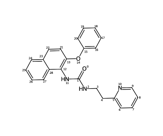 O=C(NCCc1ccccn1)Nc1c(Oc2ccccc2)ccc2ccccc12